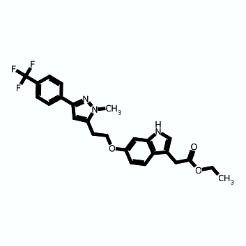 CCOC(=O)Cc1c[nH]c2cc(OCCc3cc(-c4ccc(C(F)(F)F)cc4)nn3C)ccc12